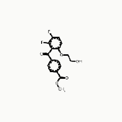 COC(=O)c1ccc(C(=O)c2c(OCCO)ccc(F)c2F)cc1